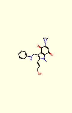 Cn1c(/C=C/CO)c(CNc2ccccc2)c2c1C(=O)C=C(N1CC1)C2=O